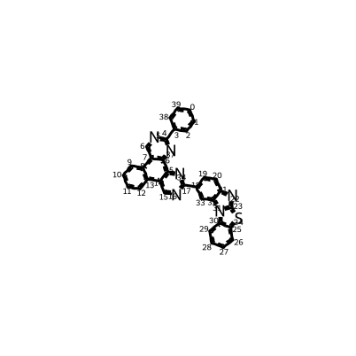 c1ccc(-c2ncc3c4ccccc4c4cnc(-c5ccc6nc7sc8ccccc8n7c6c5)nc4c3n2)cc1